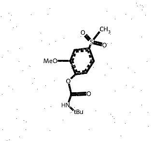 COc1cc(S(C)(=O)=O)ccc1OC(=O)NC(C)(C)C